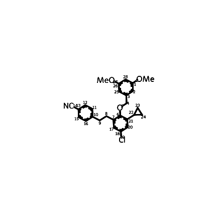 COc1cc(COc2c(CCc3ccc(C#N)cc3)cc(Cl)cc2C2CC2)cc(OC)c1